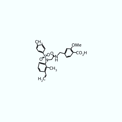 C=Cc1cccc(N(CC(=O)NCc2ccc(C(=O)O)c(OC)c2)S(=O)(=O)c2ccc(C)cc2)c1C